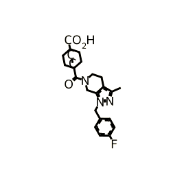 Cc1nn(Cc2ccc(F)cc2)c2c1CCN(C(=O)C13CCC(C(=O)O)(CC1)CC3)C2